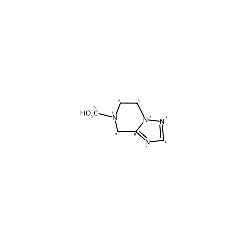 O=C(O)N1CCn2ncnc2C1